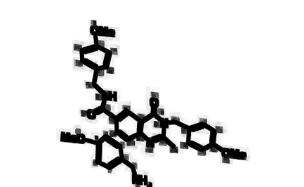 COc1ccc(CN)cc1.COc1ccc(CNC(=O)c2ccc3nc(C)n(Cc4ccc(OC)cc4)c(=O)c3c2)cc1